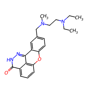 CCN(CC)CCN(C)Cc1ccc2c(c1)-c1n[nH]c(=O)c3cccc(c13)O2